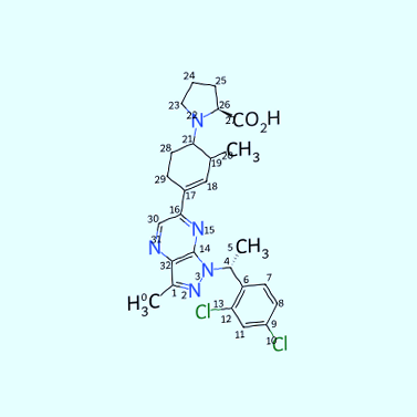 Cc1nn([C@H](C)c2ccc(Cl)cc2Cl)c2nc(C3=CC(C)C(N4CCC[C@H]4C(=O)O)CC3)cnc12